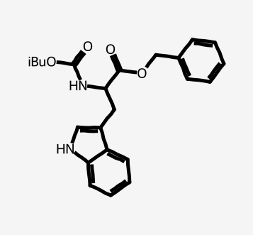 CC(C)COC(=O)NC(Cc1c[nH]c2ccccc12)C(=O)OCc1ccccc1